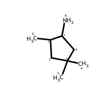 CC1CC(C)(C)CC1N